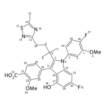 COc1cc(-n2c(C(C)(C)CCc3nsc(C)n3)c(-c3ccc(C(=O)O)c(OC)c3)c3c(O)cc(F)cc32)ccc1F